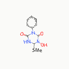 CSC1NC(=O)N(c2ccccc2)C(=O)N1O